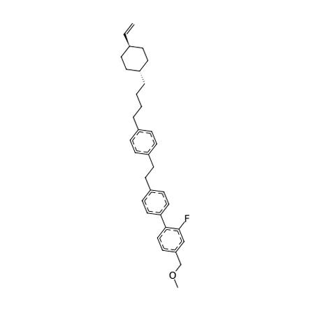 C=C[C@H]1CC[C@H](CCCCc2ccc(CCc3ccc(-c4ccc(COC)cc4F)cc3)cc2)CC1